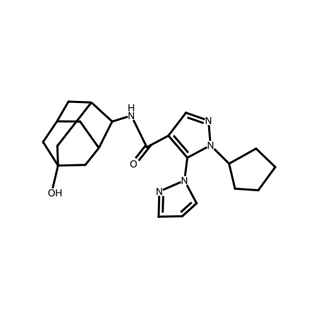 O=C(NC1C2CC3CC1CC(O)(C3)C2)c1cnn(C2CCCC2)c1-n1cccn1